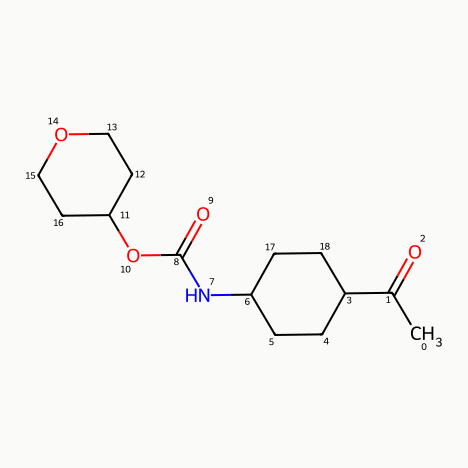 CC(=O)C1CCC(NC(=O)OC2CCOCC2)CC1